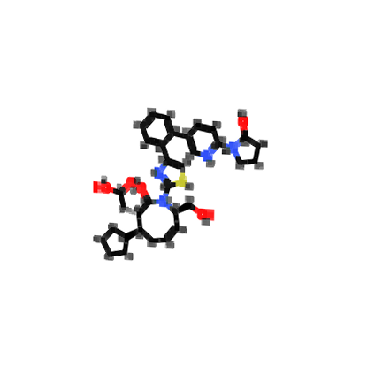 O=C(O)C[C@@H]1C(=O)N(c2nc(-c3ccccc3-c3ccc(N4CCCC4=O)nc3)cs2)[C@@H](CO)C=CC[C@H]1C1CCCC1